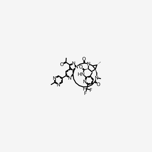 CC(=O)c1nn2c3c(nc(-c4cnc(C)nc4)cc13)CCCCCCC(=O)N(C)C[C@@]13C[C@@H](C(=O)Nc4nc(C(F)(F)F)ccc4C)N(C(=O)C2)C1[C@@H]3C